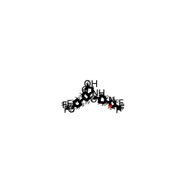 O=C(O)CC(NC(=O)c1ccc(-c2ccc(C(F)(F)F)cn2)cc1)c1ccc(-c2ccc(OC(F)(F)F)cc2)cc1